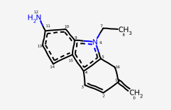 C=C1C=Cc2c(n(CC)c3cc(N)ccc23)C1